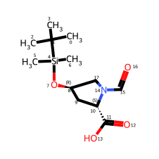 CC(C)(C)[Si](C)(C)O[C@@H]1C[C@@H](C(=O)O)N(C=O)C1